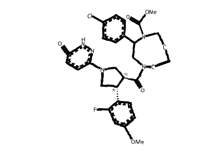 COC(=O)N1CCCCN(C(=O)[C@@H]2CN(c3ccc(=O)[nH]n3)C[C@H]2c2ccc(OC)cc2F)CC1c1ccc(Cl)cc1